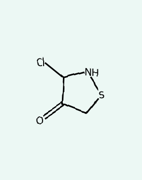 O=C1CSNC1Cl